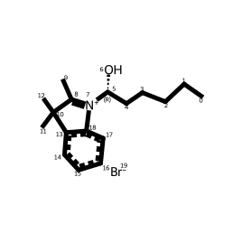 CCCCC[C@@H](O)[N+]1=C(C)C(C)(C)c2ccccc21.[Br-]